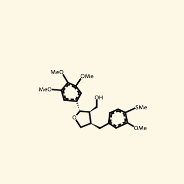 COc1cc(C[C@H]2CO[C@H](c3cc(OC)c(OC)c(OC)c3)[C@H]2CO)ccc1SC